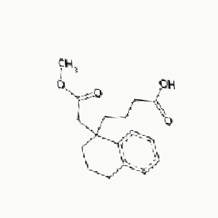 COC(=O)CC1(CCCC(=O)O)CCCc2ccccc21